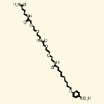 NC(=O)CCCNC(=O)COCCOCCNC(=O)COCCOCCNC(=O)CCCCCCCCCOc1ccc(C(=O)O)cc1